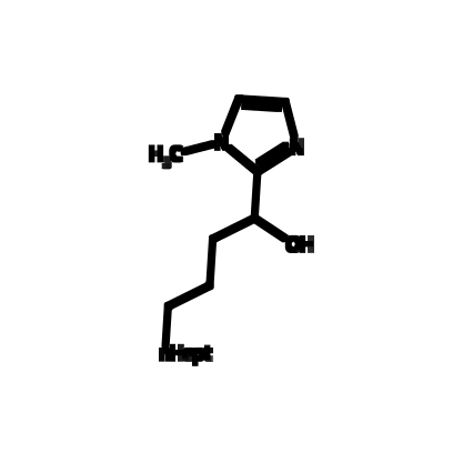 CCCCCCCCCCC(O)c1nccn1C